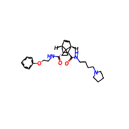 O=C(NCCCCN1CCCC1)[C@H]1[C@H](C(=O)NCCOc2ccccc2)[C@@H]2C=C[C@H]1C21CC1